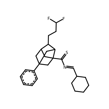 FC(F)CCC1C2CC3(c4ccccc4)CC1C(C(=S)/N=C/C1CCCCC1)(C2)C3